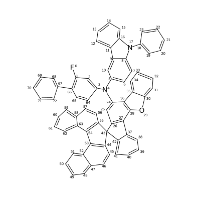 Fc1cc(N(c2ccc3c(c2)c2ccccc2n3-c2ccccc2)c2cc3c(c4oc5ccccc5c24)-c2ccccc2C32c3ccc4ccccc4c3-c3c2ccc2ccccc32)ccc1-c1ccccc1